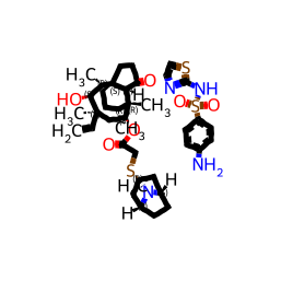 C=C[C@]1(C)C[C@@H](OC(=O)CS[C@H]2C[C@H]3CC[C@@H](C2)N3C)[C@]2(C)[C@H](C)CC[C@]3(CCC(=O)[C@H]32)[C@@H](C)[C@@H]1O.Nc1ccc(S(=O)(=O)Nc2nccs2)cc1